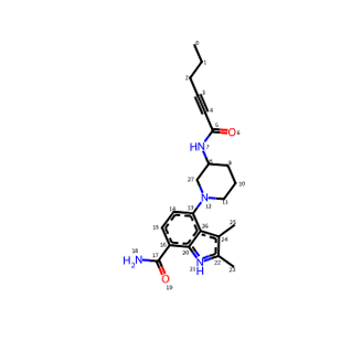 CCCC#CC(=O)NC1CCCN(c2ccc(C(N)=O)c3[nH]c(C)c(C)c23)C1